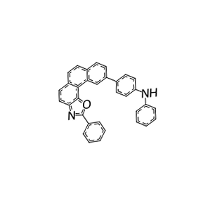 c1ccc(Nc2ccc(-c3ccc4ccc5ccc6nc(-c7ccccc7)oc6c5c4c3)cc2)cc1